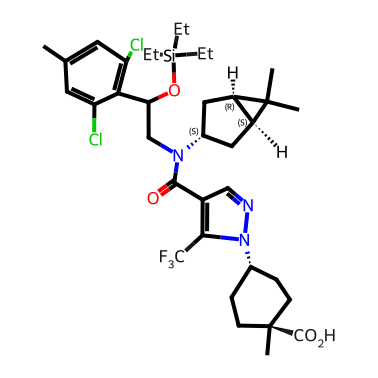 CC[Si](CC)(CC)OC(CN(C(=O)c1cnn([C@H]2CC[C@](C)(C(=O)O)CC2)c1C(F)(F)F)[C@@H]1C[C@@H]2[C@H](C1)C2(C)C)c1c(Cl)cc(C)cc1Cl